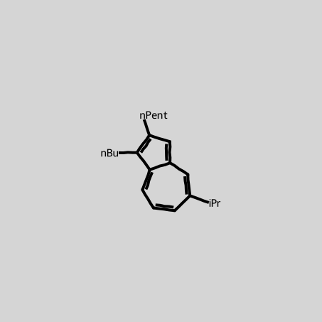 CCCCCc1cc2cc(C(C)C)cccc-2c1CCCC